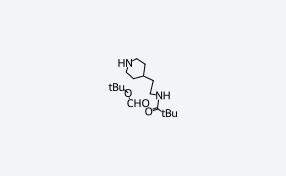 CC(C)(C)C(=O)NCCC1CCNCC1.CC(C)(C)OC=O